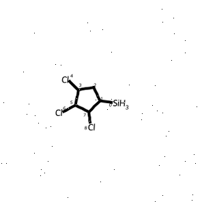 [SiH3]C1CC(Cl)C(Cl)C1Cl